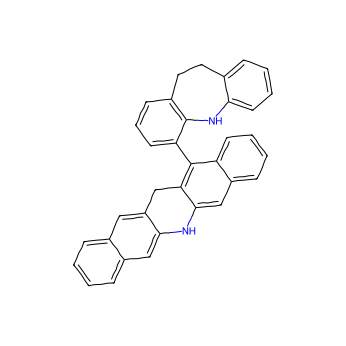 c1ccc2c(c1)CCc1cccc(-c3c4c(cc5ccccc35)Nc3cc5ccccc5cc3C4)c1N2